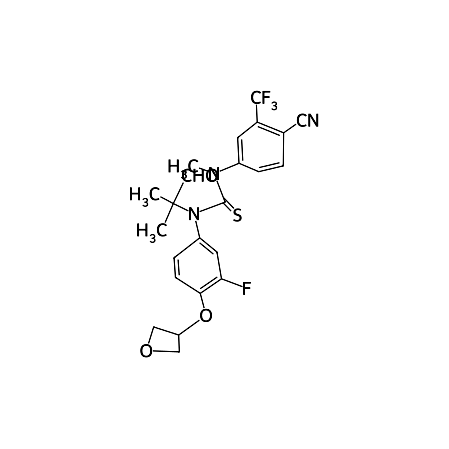 CN(C(=S)N(c1ccc(OC2COC2)c(F)c1)C(C)(C)C=O)c1ccc(C#N)c(C(F)(F)F)c1